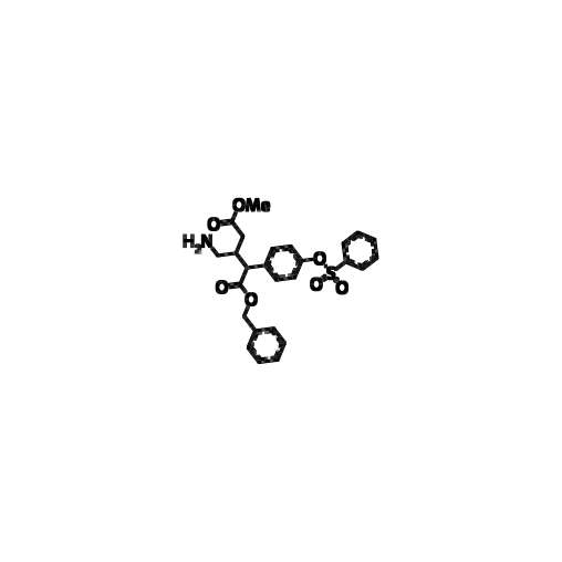 COC(=O)CC(CN)C(C(=O)OCc1ccccc1)c1ccc(OS(=O)(=O)c2ccccc2)cc1